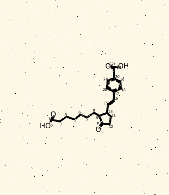 O=C(O)CCCCCCC1C(=O)CCC1C=Cc1ccc(C(=O)O)cc1